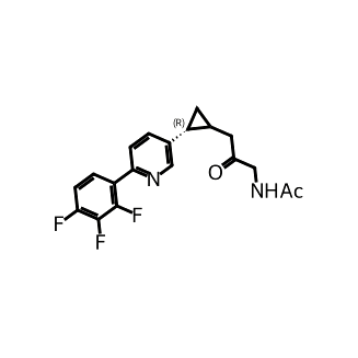 CC(=O)NCC(=O)CC1C[C@H]1c1ccc(-c2ccc(F)c(F)c2F)nc1